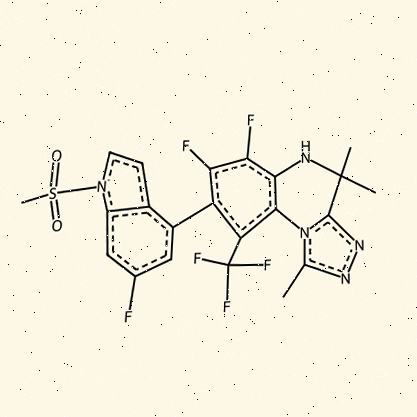 Cc1nnc2n1-c1c(c(F)c(F)c(-c3cc(F)cc4c3ccn4S(C)(=O)=O)c1C(F)(F)F)NC2(C)C